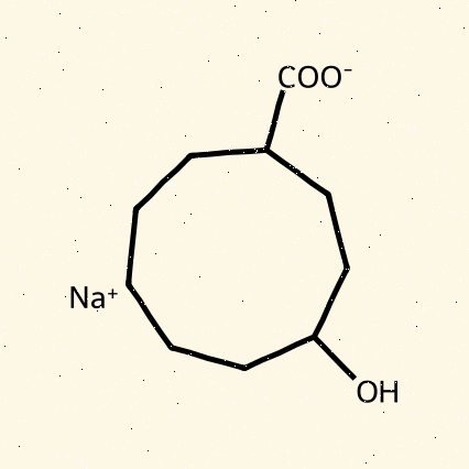 O=C([O-])C1CCCCCC(O)CC1.[Na+]